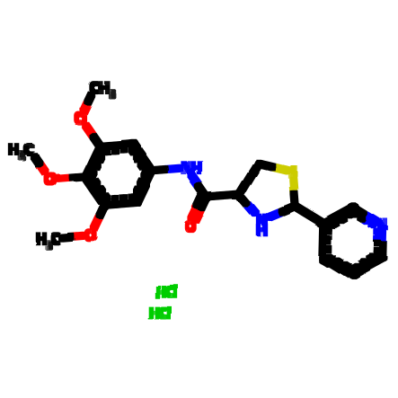 COc1cc(NC(=O)C2CSC(c3cccnc3)N2)cc(OC)c1OC.Cl.Cl